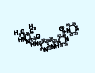 Cc1[nH]nc(C(=O)Nc2cnc3[nH]c(-c4ccnc(C(=O)N5CCSCC5)c4)cc3c2)c1C